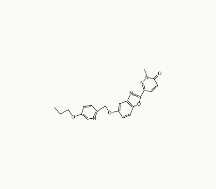 CCCOc1ccc(COc2ccc3oc(-c4ccc(=O)n(C)n4)nc3c2)nc1